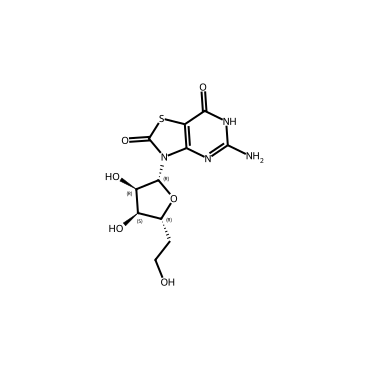 Nc1nc2c(sc(=O)n2[C@@H]2O[C@H](CCO)[C@@H](O)[C@H]2O)c(=O)[nH]1